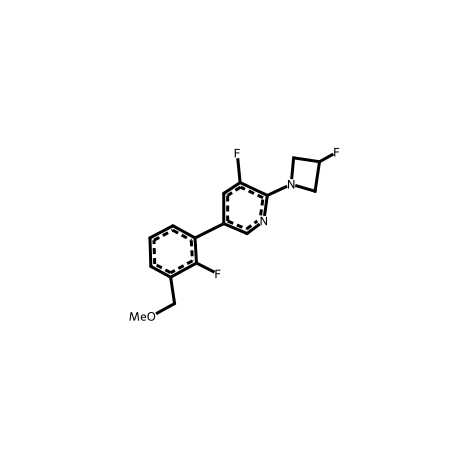 COCc1cccc(-c2cnc(N3CC(F)C3)c(F)c2)c1F